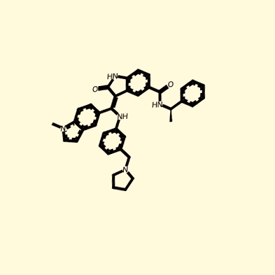 C[C@@H](NC(=O)c1ccc2c(c1)C(=C(Nc1cccc(CN3CCCC3)c1)c1ccc3c(ccn3C)c1)C(=O)N2)c1ccccc1